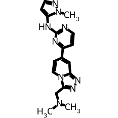 CN(C)Cc1nnc2cc(-c3ccnc(Nc4ccnn4C)n3)ccn12